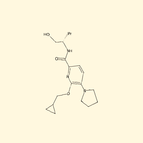 CC(C)[C@@H](CO)NC(=O)c1ccc(N2CCCC2)c(OCC2CC2)n1